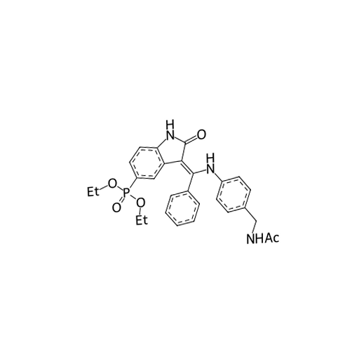 CCOP(=O)(OCC)c1ccc2c(c1)/C(=C(/Nc1ccc(CNC(C)=O)cc1)c1ccccc1)C(=O)N2